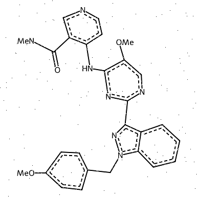 CNC(=O)c1cnccc1Nc1nc(-c2nn(Cc3ccc(OC)cc3)c3ccccc23)ncc1OC